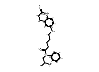 CC(O)CN(C(=O)CCCCOc1ccc2c(c1)CCC(=O)N2)c1ccccc1